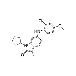 COc1ccc(Nc2cc3c(cn2)n(C)c(=O)n3C2CCCC2)c(Cl)c1